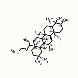 CCCCC(OCOC)[C@]12CCC(C)(C)C[C@H]1[C@H]1[C@H](O)C=C3[C@@]4(C)CC[C@H](O)C(C)(C)[C@@H]4CC[C@@]3(C)[C@]1(C)CC2